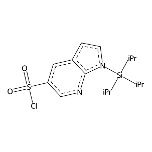 CC(C)[Si](C(C)C)(C(C)C)n1ccc2cc(S(=O)(=O)Cl)cnc21